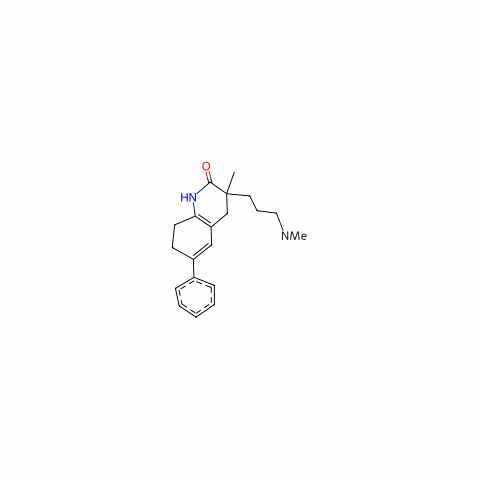 CNCCCC1(C)CC2=C(CCC(c3ccccc3)=C2)NC1=O